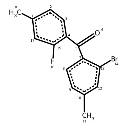 Cc1ccc(C(=O)c2ccc(C)cc2Br)c(F)c1